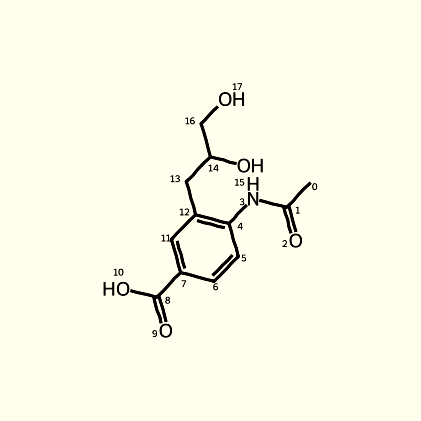 CC(=O)Nc1ccc(C(=O)O)cc1CC(O)CO